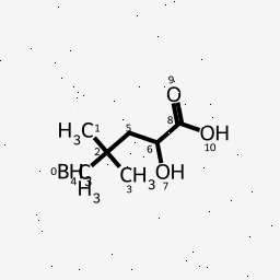 B.CC(C)(C)CC(O)C(=O)O